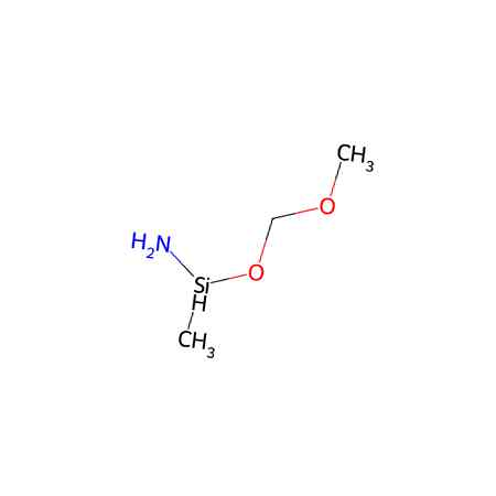 COCO[SiH](C)N